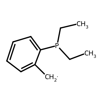 [CH2]c1ccccc1P(CC)CC